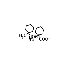 CC1(C(=O)[O-])CCCCC1.CC1(C(=O)[O-])CCCCC1.[Hg+2]